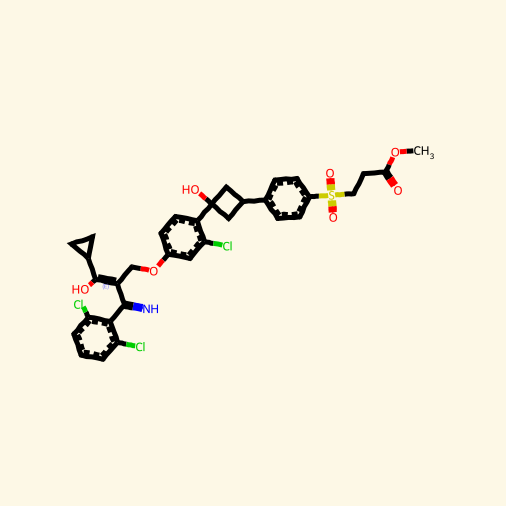 COC(=O)CCS(=O)(=O)c1ccc(C2CC(O)(c3ccc(OC/C(C(=N)c4c(Cl)cccc4Cl)=C(/O)C4CC4)cc3Cl)C2)cc1